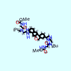 CC[C@H](C)N(Cc1ncc(-c2ccc3c(c2)COc2cc4c(ccc5nc(CN(CC(C)C)C(=O)CNC(=O)OC)[nH]c54)cc2-3)[nH]1)C(=O)CNC(=O)OC